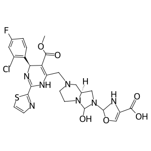 COC(=O)C1=C(CN2CCN3C(O)N(C4NC(C(=O)O)=CO4)C[C@@H]3C2)NC(c2nccs2)=N[C@H]1c1ccc(F)cc1Cl